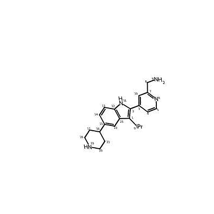 CC(C)c1c(-c2ccnc(CN)c2)[nH]c2ccc(C3CCNCC3)cc12